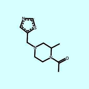 CC(=O)N1CCN(Cc2cn[c]s2)CC1C